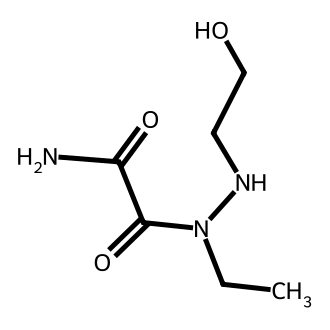 CCN(NCCO)C(=O)C(N)=O